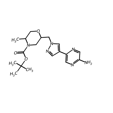 CC1COC(Cn2cc(-c3cnc(N)cn3)cn2)CN1C(=O)OC(C)(C)C